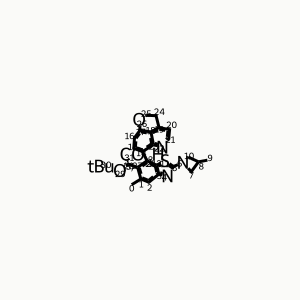 Cc1cc2nc(N3CC(C)C3)sc2c(-c2ccc3c4c(ccnc24)CCO3)c1[C@H](OC(C)(C)C)C(=O)O